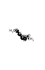 Cn1cc(-c2ccc(-c3ccc4ncc5c([nH]c(=O)n5C)c4n3)cn2)cn1